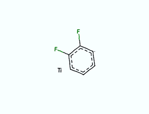 Fc1[c]cccc1F.[Ti]